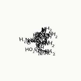 CC[C@H](C)[C@H](NC(=O)[C@H](CC(=O)O)NC(=O)[C@H](CCCCN)NC(C)=O)C(=O)N[C@@H](CCCNC(N)=O)C(=O)N[C@@H](CC(C)C)C(=O)N[C@@H](CC(N)=O)C(=O)N[C@@H](CC(N)=O)C(=O)N[C@@H](CC(N)=O)C(=O)O